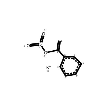 C=C(O[S-](=O)=O)c1ccccc1.[K+]